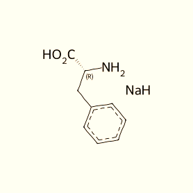 N[C@H](Cc1ccccc1)C(=O)O.[NaH]